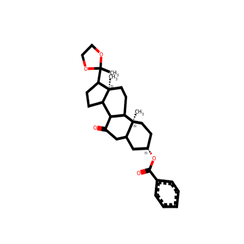 CC1(C2CCC3C4C(=O)CC5C[C@@H](OC(=O)c6ccccc6)CC[C@]5(C)C4CC[C@@]32C)OCCO1